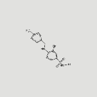 CCNS(=O)(=O)c1ccc(NCc2ccc(C(F)(F)F)cc2)c(Br)c1